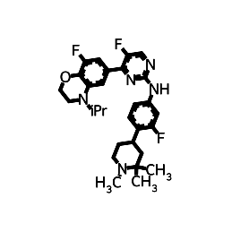 CC(C)N1CCOc2c(F)cc(-c3nc(Nc4ccc(C5CCN(C)C(C)(C)C5)c(F)c4)ncc3F)cc21